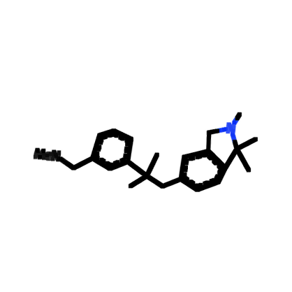 CNCc1cccc(C(C)(C)Cc2ccc3c(c2)CN(C)C3(C)C)c1